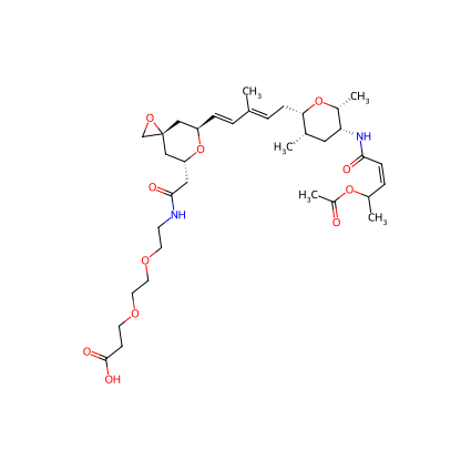 CC(=O)OC(C)/C=C\C(=O)N[C@@H]1C[C@H](C)[C@H](C/C=C(C)/C=C/[C@@H]2C[C@]3(CO3)C[C@@H](CC(=O)NCCOCCOCCC(=O)O)O2)O[C@@H]1C